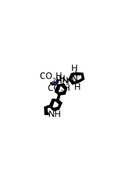 CN1[C@@H]2CC[C@H]1C[C@@H](Nc1ccc(-c3ccc4[nH]ccc4c3)cc1)C2.O=C(O)/C=C/C(=O)O